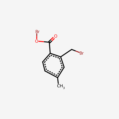 Cc1ccc(C(=O)OBr)c(CBr)c1